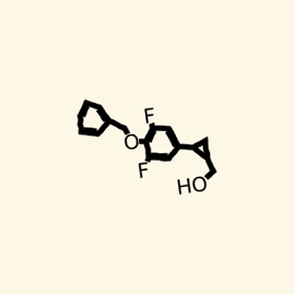 OCC1CC1c1cc(F)c(OCc2ccccc2)c(F)c1